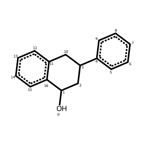 OC1CC(c2ccccc2)Cc2ccccc21